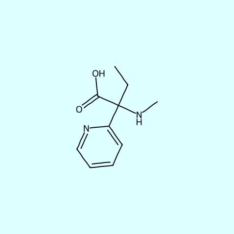 CCC(NC)(C(=O)O)c1ccccn1